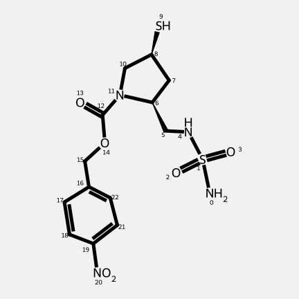 NS(=O)(=O)NC[C@@H]1C[C@H](S)CN1C(=O)OCc1ccc([N+](=O)[O-])cc1